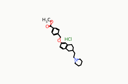 COC(=O)c1ccc(COc2ccc3c(c2)CCC(CCN2CCCCC2)C3)cc1.Cl